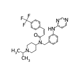 CC(C)N1CCC(N(Cc2cccc(Nc3ccncn3)c2)C(=O)C=Cc2ccc(C(F)(F)F)cc2)CC1